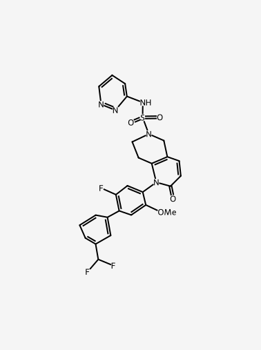 COc1cc(-c2cccc(C(F)F)c2)c(F)cc1-n1c2c(ccc1=O)CN(S(=O)(=O)Nc1cccnn1)CC2